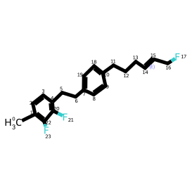 Cc1ccc(CCc2ccc(CCC/C=C/CF)cc2)c(F)c1F